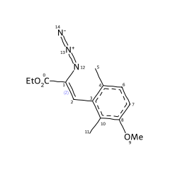 CCOC(=O)/C(=C/c1c(C)ccc(OC)c1C)N=[N+]=[N-]